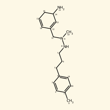 Cc1ccc(CCCNN(C)CC2=CC(N)CC=C2)cc1